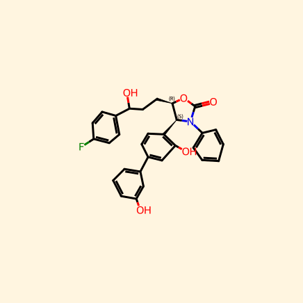 O=C1O[C@H](CCC(O)c2ccc(F)cc2)[C@H](c2ccc(-c3cccc(O)c3)cc2O)N1c1ccccc1